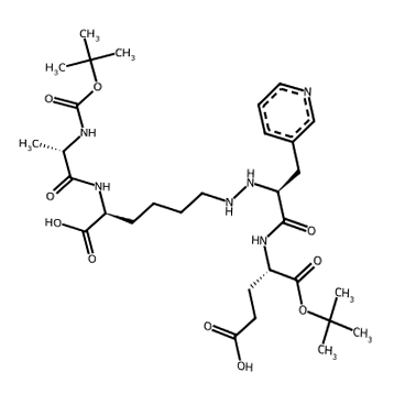 C[C@H](NC(=O)OC(C)(C)C)C(=O)N[C@@H](CCCCNN[C@@H](Cc1cccnc1)C(=O)N[C@@H](CCC(=O)O)C(=O)OC(C)(C)C)C(=O)O